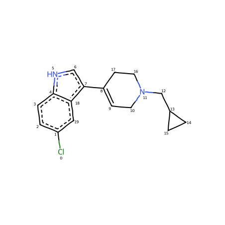 Clc1ccc2[nH]cc(C3=CCN(CC4CC4)CC3)c2c1